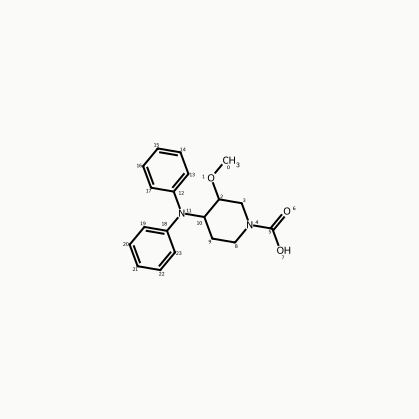 COC1CN(C(=O)O)CCC1N(c1ccccc1)c1ccccc1